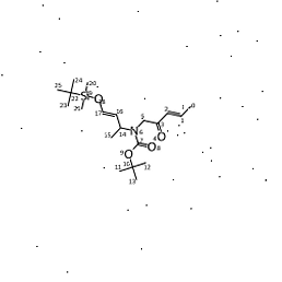 CC=CC(=O)CN(C(=O)OC(C)(C)C)C(C)C=CO[Si](C)(C)C(C)(C)C